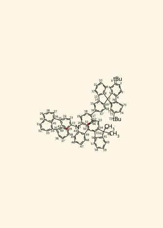 CC(C)(C)c1ccc2c(c1)C1(c3ccccc3-c3cc(-c4ccc(N(c5ccc(-c6cccc7cccc(-c8ccccc8)c67)cc5)c5ccccc5-c5cccc6c5-c5ccccc5C6(C)C)cc4)ccc31)c1cc(C(C)(C)C)ccc1-2